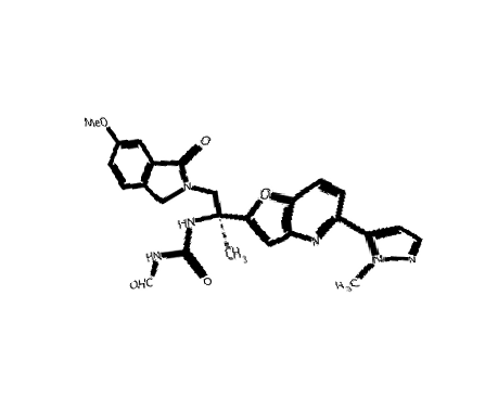 COc1ccc2c(c1)C(=O)N(C[C@](C)(NC(=O)NC=O)c1cc3nc(-c4ccnn4C)ccc3o1)C2